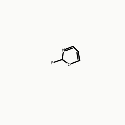 FC1N=CC=CO1